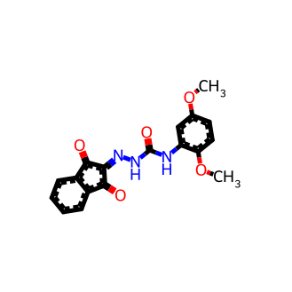 COc1ccc(OC)c(NC(=O)NN=c2c(=O)c3ccccc3c2=O)c1